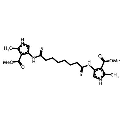 COC(=O)c1c(NC(=S)CCCCCCC(=S)Nc2c[nH]c(C)c2C(=O)OC)c[nH]c1C